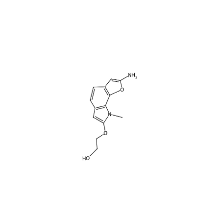 Cn1c(OCCO)cc2ccc3cc(N)oc3c21